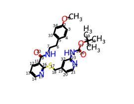 COc1ccc(CCNC(=O)c2cccnc2SCc2ccnc(NC(=O)OC(C)(C)C)c2)cc1